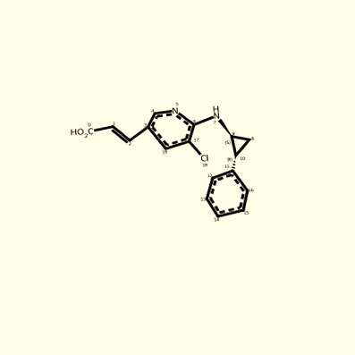 O=C(O)C=Cc1cnc(N[C@H]2C[C@@H]2c2ccccc2)c(Cl)c1